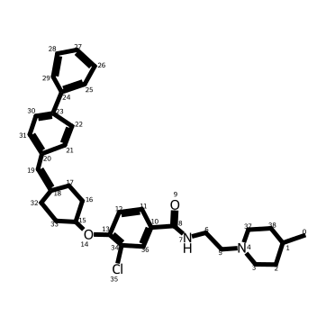 CC1CCN(CCNC(=O)c2ccc(OC3CCC(=Cc4ccc(-c5ccccc5)cc4)CC3)c(Cl)c2)CC1